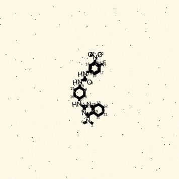 CN(C)c1nc(NC2CCC(NC(=O)Nc3ccc(F)c([N+](=O)[O-])c3)CC2)nc2c1CCCC2